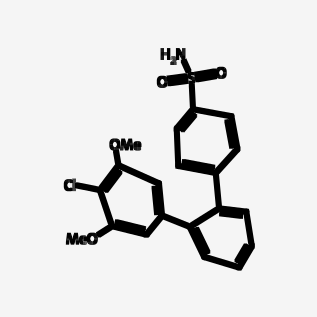 COc1cc(-c2ccccc2-c2ccc(S(N)(=O)=O)cc2)cc(OC)c1Cl